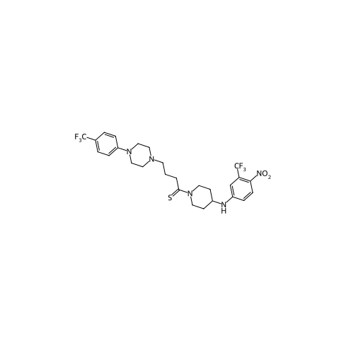 O=[N+]([O-])c1ccc(NC2CCN(C(=S)CCCN3CCN(c4ccc(C(F)(F)F)cc4)CC3)CC2)cc1C(F)(F)F